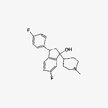 CN1CCC(C2(O)CC(c3ccc(F)cc3)c3ccc(F)cc32)CC1